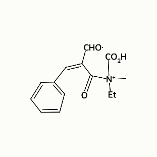 CC[N+](C)(C(=O)O)C(=O)C([C]=O)=Cc1ccccc1